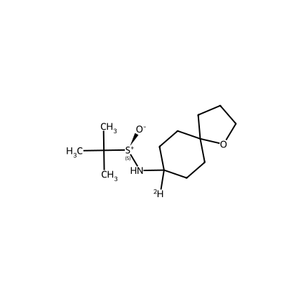 [2H]C1(N[S@+]([O-])C(C)(C)C)CCC2(CCCO2)CC1